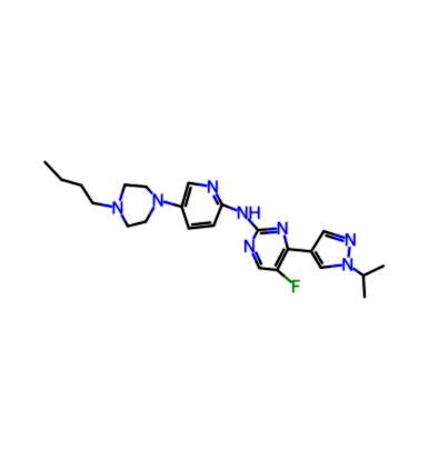 CCCCN1CCN(c2ccc(Nc3ncc(F)c(-c4cnn(C(C)C)c4)n3)nc2)CC1